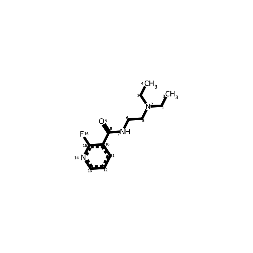 CCN(CC)CCNC(=O)c1cccnc1F